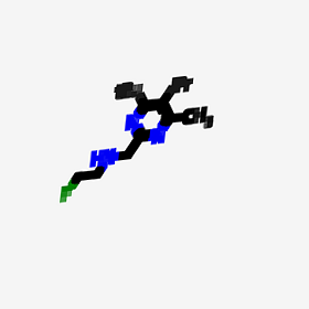 Cc1nc(CNCCF)nc(C(C)(C)C)c1C(C)C